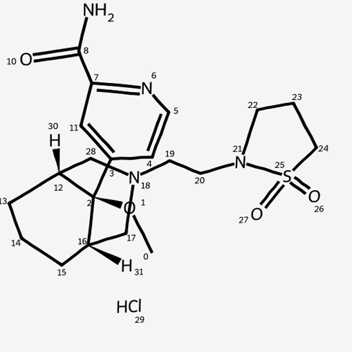 CO[C@]1(c2ccnc(C(N)=O)c2)[C@@H]2CCC[C@H]1CN(CCN1CCCS1(=O)=O)C2.Cl